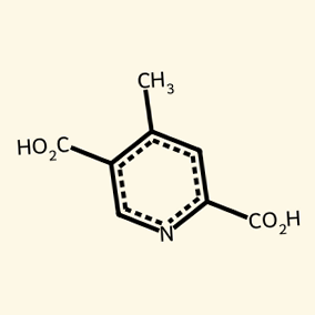 Cc1cc(C(=O)O)ncc1C(=O)O